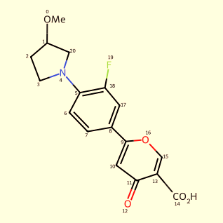 COC1CCN(c2ccc(-c3cc(=O)c(C(=O)O)co3)cc2F)C1